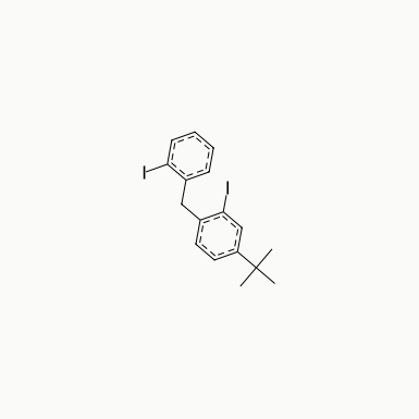 CC(C)(C)c1ccc(Cc2ccccc2I)c(I)c1